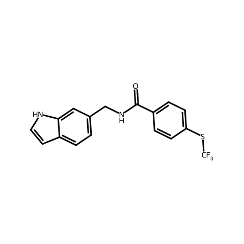 O=C(NCc1ccc2cc[nH]c2c1)c1ccc(SC(F)(F)F)cc1